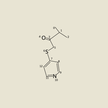 CC(C)C(=O)CSc1ccncc1